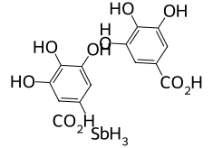 O=C(O)c1cc(O)c(O)c(O)c1.O=C(O)c1cc(O)c(O)c(O)c1.[SbH3]